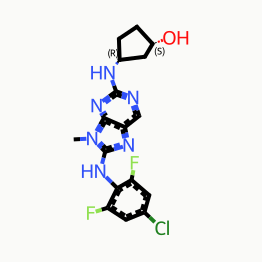 Cn1c(Nc2c(F)cc(Cl)cc2F)nc2cnc(N[C@@H]3CC[C@H](O)C3)nc21